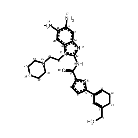 CCC1=CC(c2ccc(C(=O)Nc3nc4cc(N)c(N)cc4n3CCN3CCOCC3)s2)=CCC1